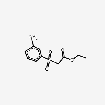 CCOC(=O)CS(=O)(=O)c1cccc(N)c1